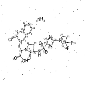 N.O=C(O)C(Cc1cc2ccncc2cc1Cl)N1CCC(NS(=O)(=O)c2cnc(N3CCC(F)(F)C3)s2)C1=O